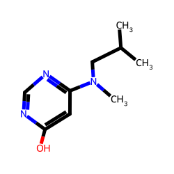 CC(C)CN(C)c1cc(O)ncn1